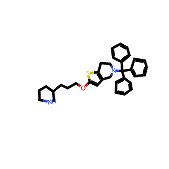 c1ccc(C(c2ccccc2)(c2ccccc2)N2CCc3sc(OCCCC4CCCNC4)cc3C2)cc1